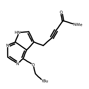 CNC(=O)C#CCc1c[nH]c2ncnc(OCC(C)(C)C)c12